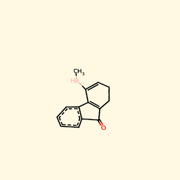 CBC1=CCCC2=C1c1ccccc1C2=O